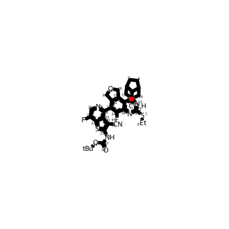 CCSc1nc(C2C3CCC2CN(C(=O)O)C3)c2c3c(c(-c4ncc(F)c5sc(NC(=O)OC(C)(C)C)c(C#N)c45)c(F)c2n1)COC3